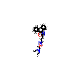 CCN(CC)CCON=CCCc1nc(-c2ccccc2)c(-c2ccccc2)o1